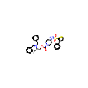 C[C@@H](COC(=O)N1CCC(NS(=O)(=O)c2sccc2-c2ccccc2)CC1)N(Cc1ccccc1)Cc1ccccc1